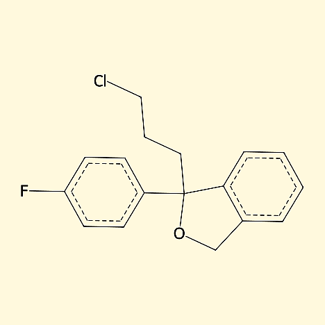 Fc1ccc(C2(CCCCl)OCc3ccccc32)cc1